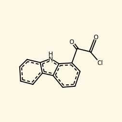 O=C(Cl)C(=O)c1cccc2c1[nH]c1ccccc12